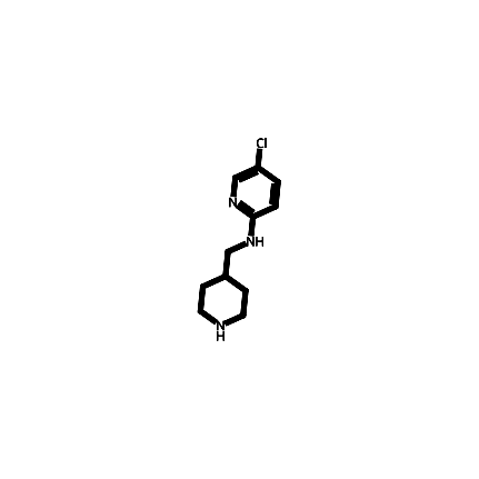 Clc1ccc(NCC2CCNCC2)nc1